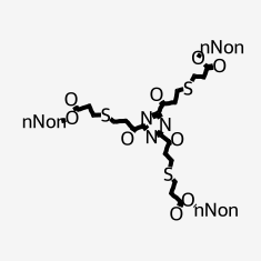 CCCCCCCCCOC(=O)CCSCCC(=O)c1nc(C(=O)CCSCCC(=O)OCCCCCCCCC)nc(C(=O)CCSCCC(=O)OCCCCCCCCC)n1